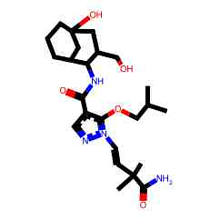 CC(C)COc1c(C(=O)NC2C(CO)CC3(O)CCCC2C3)cnn1/C=C/C(C)(C)C(N)=O